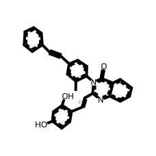 Cc1cc(C#Cc2ccccc2)ccc1-n1c(/C=C/c2ccc(O)cc2O)nc2ccccc2c1=O